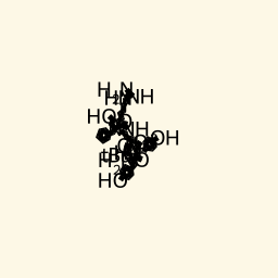 CC(C)(C)OC(=O)N(CCCC[C@@](CCCCCCNC(=N)N)(C(N)=O)N(CCO)Cc1ccccc1)C(=O)[C@H](Cc1ccc(O)cc1)NC(=O)[C@@H](N)Cc1ccc(O)cc1